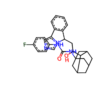 O=C(Nc1ccc(F)cc1)NC12CC3CC(C1)C(C(O)CC1c4ccccc4-c4cncn41)C(C3)C2